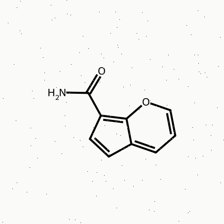 NC(=O)c1ccc2cccoc1-2